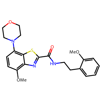 COc1ccccc1CCNC(=O)c1nc2c(OC)ccc(N3CCOCC3)c2s1